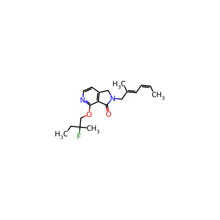 C/C=C\C=C(/C)CN1Cc2ccnc(OCC(C)(F)CC)c2C1=O